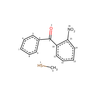 CS.O=C(c1ccccc1)c1ccccc1[N+](=O)[O-]